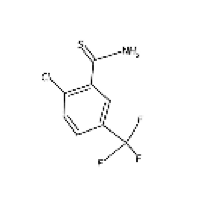 NC(=S)c1cc(C(F)(F)F)ccc1Cl